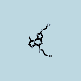 Cc1cnc2c(NCCO)nc3cc(SCC(C)C)sc3n12